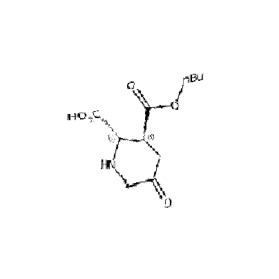 CCCCOC(=O)[C@H]1CC(=O)CN[C@@H]1C(=O)O